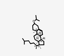 CC(C)CCC[C@H](C)[C@]1(C)CC[C@@H]2[C@@H]3CC=C4CC(OC(C)C)CC[C@]4(C)[C@@H]3CC[C@@]21C